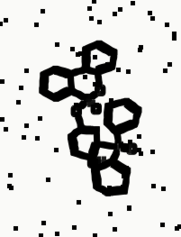 O=P1(Oc2ccc(O)c(P(=O)(c3ccccc3)c3ccccc3)c2)Oc2ccccc2-c2ccccc21